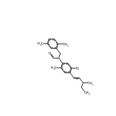 CCN(C)/C=N/c1cc(C)c(N(C=O)Cc2cc(C)ccc2C)cc1Cl